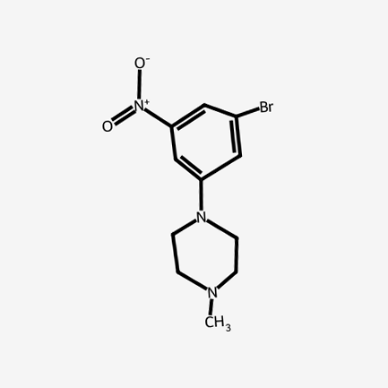 CN1CCN(c2cc(Br)cc([N+](=O)[O-])c2)CC1